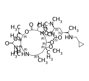 CC[C@H]1OC(=O)C(C)C(=O)[C@H](C)[C@@H](O[C@@H]2O[C@H](C(C)NCC3CC3)C[C@H](N(C)C)[C@H]2O)[C@](C)(OC)C[C@@H](C)CN[C@H](C)[C@H]2NC(=O)O[C@@]21C